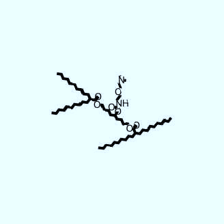 CCCCCCCCCCC(CCCCCCCCCC)C(=O)OCCCCC(CCCCOC(=O)C(CCCCCCCCCC)CCCCCCCCCC)OC(=O)NCCOCCN(C)C